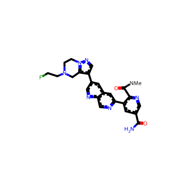 CNC(=O)c1ncc(C(N)=O)cc1-c1cc2cc(-c3cnn4c3CN(CCF)CC4)cnc2cn1